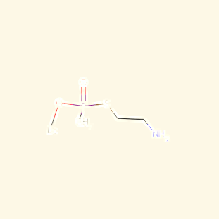 CCOP(C)(=O)SCCN